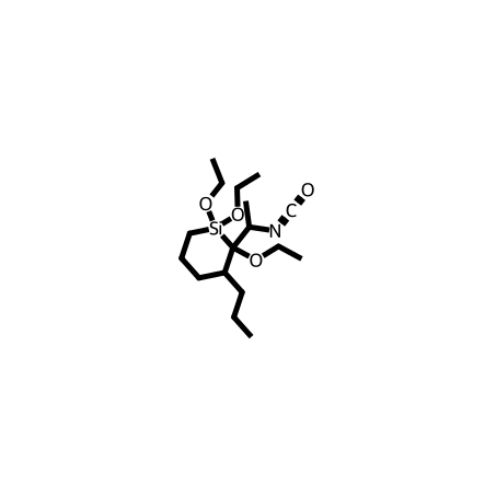 CCCC1CCC[Si](OCC)(OCC)C1(OCC)C(C)N=C=O